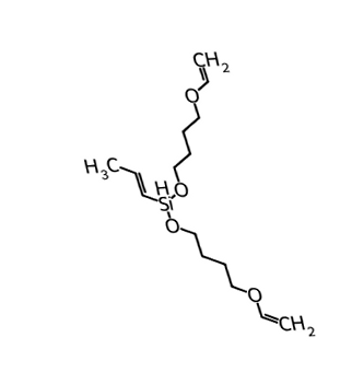 C=COCCCCO[SiH](C=CC)OCCCCOC=C